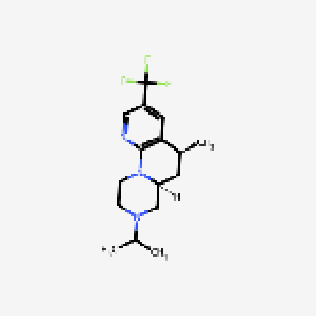 CC(C)N1CCN2c3ncc(C(F)(F)F)cc3[C@@H](C)C[C@H]2C1